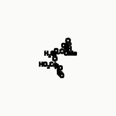 COc1cc(CC(=O)N(C)c2ccc(C3CN(C(=O)CN4CCOCC4)CC3C(=O)O)cc2)ccc1NC(=O)N1CCc2ccccc21